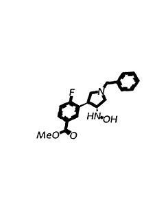 COC(=O)c1ccc(F)c([C@H]2CN(Cc3ccccc3)C[C@@H]2NO)c1